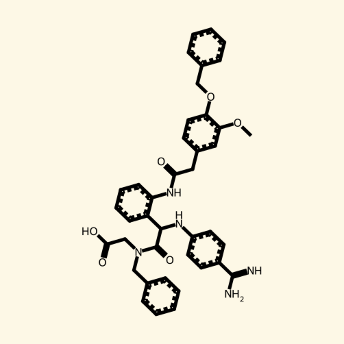 COc1cc(CC(=O)Nc2ccccc2C(Nc2ccc(C(=N)N)cc2)C(=O)N(CC(=O)O)Cc2ccccc2)ccc1OCc1ccccc1